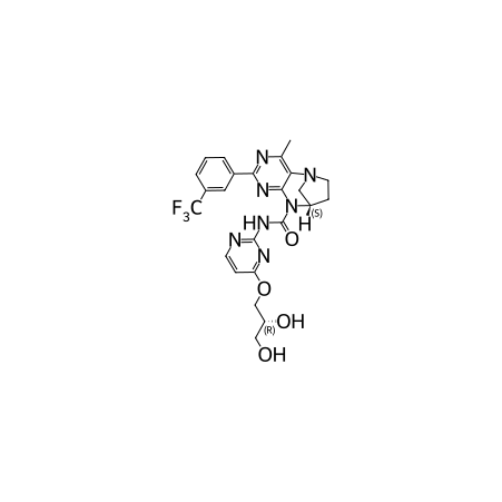 Cc1nc(-c2cccc(C(F)(F)F)c2)nc2c1N1CC[C@@H](C1)N2C(=O)Nc1nccc(OC[C@H](O)CO)n1